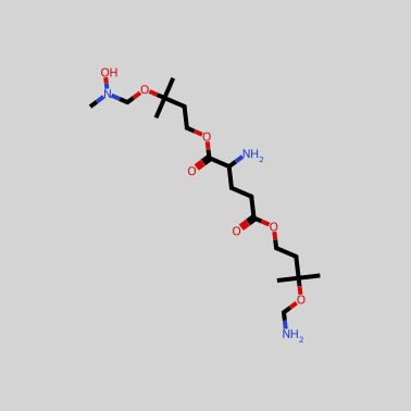 CN(O)COC(C)(C)CCOC(=O)C(N)CCC(=O)OCCC(C)(C)OCN